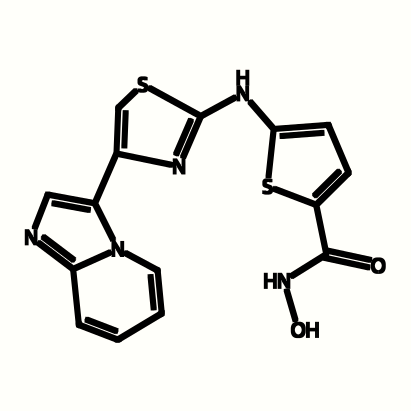 O=C(NO)c1ccc(Nc2nc(-c3cnc4ccccn34)cs2)s1